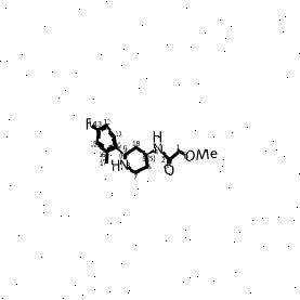 COCC(=O)N[C@H]1CCN[C@@H](c2ccc(F)cc2C)C1